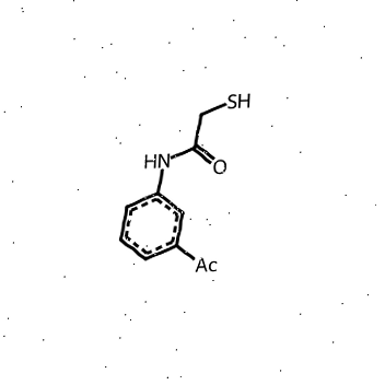 CC(=O)c1cccc(NC(=O)CS)c1